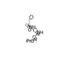 CC(C)Oc1ccc(-c2n[nH]c3ccc(C(=O)NN4CCCC4CCc4ccccc4)cc23)cn1